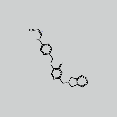 N/C=C\Nc1ccc(COc2coc(CN3Cc4ccccc4C3)cc2=O)cc1